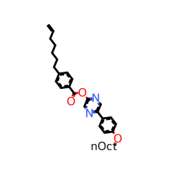 C=CCCCCCc1ccc(C(=O)Oc2cnc(-c3ccc(OCCCCCCCC)cc3)cn2)cc1